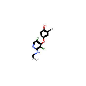 CC(C)c1cc(Oc2c(Cl)cnc(NCC(=O)O)c2Cl)ccc1O